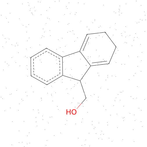 OCC1C2=CCCC=C2c2ccccc21